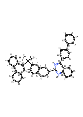 CC1(C)c2cc3cc(-c4nc(-c5ccc(-c6ccccc6)cc5)c5ccccc5n4)ccc3cc2-c2c1c1ccccc1c1ccccc21